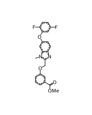 COC(=O)c1cccc(OCc2nc3ccc(Oc4cc(F)ccc4F)cc3n2C)c1